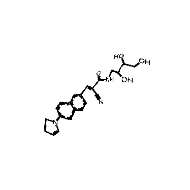 N#C/C(=C\c1ccc2cc(N3C=CCC3)ccc2c1)C(=O)NCC(O)C(O)CO